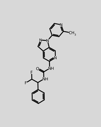 Cc1cc(-n2ncc3cc(NC(=O)NC(c4ccccc4)C(F)F)ncc32)ccn1